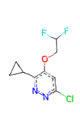 FC(F)COc1cc(Cl)nnc1C1CC1